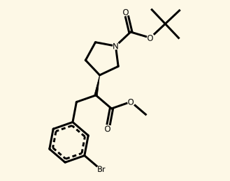 COC(=O)C(Cc1cccc(Br)c1)[C@H]1CCN(C(=O)OC(C)(C)C)C1